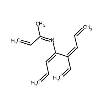 C=C\C=C(C=C)/C(=C\C=C)/N=C(/C)C=C